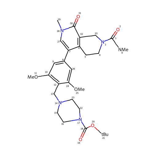 CNC(=O)N1CCc2c(-c3cc(OC)c(CN4CCN(C(=O)OC(C)(C)C)CC4)c(OC)c3)cn(C)c(=O)c2C1